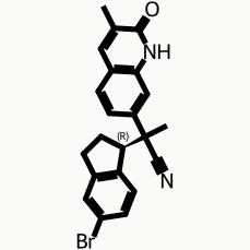 Cc1cc2ccc(C(C)(C#N)[C@@H]3CCc4cc(Br)ccc43)cc2[nH]c1=O